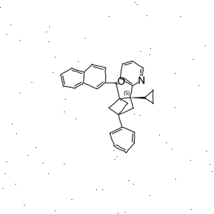 O=C(c1ccc2ccccc2c1)C12CC(c3ccccc3)(C1)C[C@]2(c1ccccn1)C1CC1